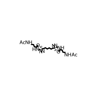 CC(=O)NCCCC(=O)Nc1nnc(CCCCc2nnc(NC(=O)CCCNC(C)=O)s2)s1